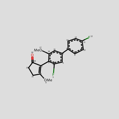 COC1=C(c2c(F)cc(-c3ccc(F)cc3)cc2OC)C(=O)CC1